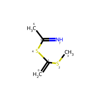 C=C(SC)SC(C)=N